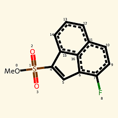 [CH2]OS(=O)(=O)C1=Cc2c(F)ccc3cccc1c23